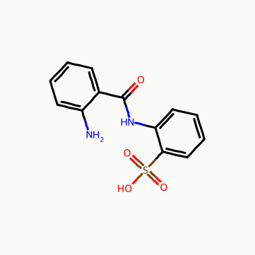 Nc1ccccc1C(=O)Nc1ccccc1S(=O)(=O)O